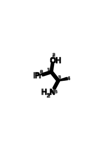 CC(C)C(O)[C@@H](C)N